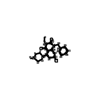 CCn1c(=O)c2c(N3CCN(C)CC3)cc(Cl)cc2n(Cc2ccccc2)c1=O